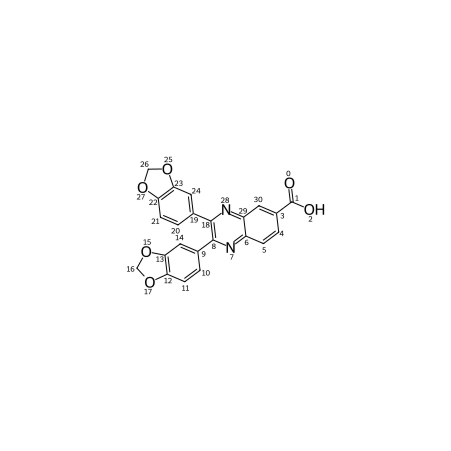 O=C(O)c1ccc2nc(-c3ccc4c(c3)OCO4)c(-c3ccc4c(c3)OCO4)nc2c1